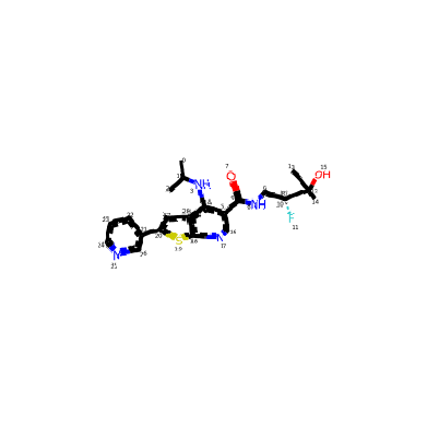 CC(C)Nc1c(C(=O)NC[C@@H](F)C(C)(C)O)cnc2sc(-c3cccnc3)cc12